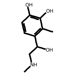 CNCC(O)c1ccc(O)c(O)c1C